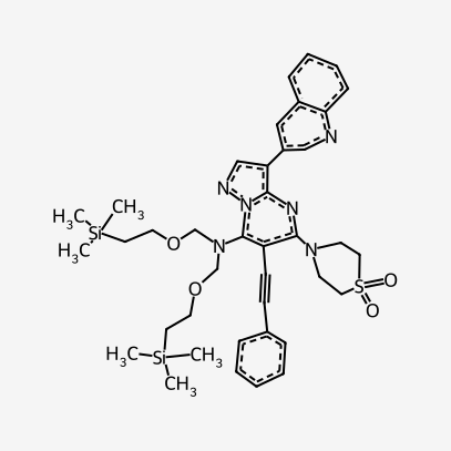 C[Si](C)(C)CCOCN(COCC[Si](C)(C)C)c1c(C#Cc2ccccc2)c(N2CCS(=O)(=O)CC2)nc2c(-c3cnc4ccccc4c3)cnn12